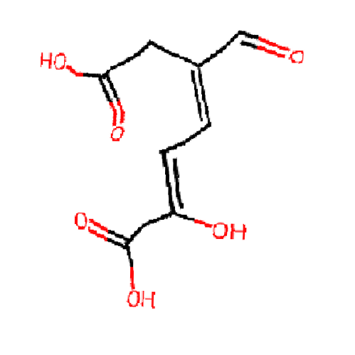 O=CC(=CC=C(O)C(=O)O)CC(=O)O